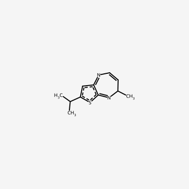 CC1C=CN=c2cc(C(C)C)sc2=N1